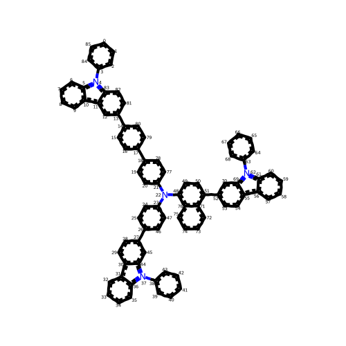 c1ccc(-n2c3ccccc3c3cc(-c4ccc(-c5ccc(N(c6ccc(-c7ccc8c9ccccc9n(-c9ccccc9)c8c7)cc6)c6ccc(-c7ccc8c9ccccc9n(-c9ccccc9)c8c7)c7ccccc67)cc5)cc4)ccc32)cc1